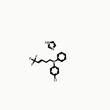 FC(F)(F)C=CCCB(c1ccccc1)c1ccc(Cl)cc1.c1c[nH]cn1